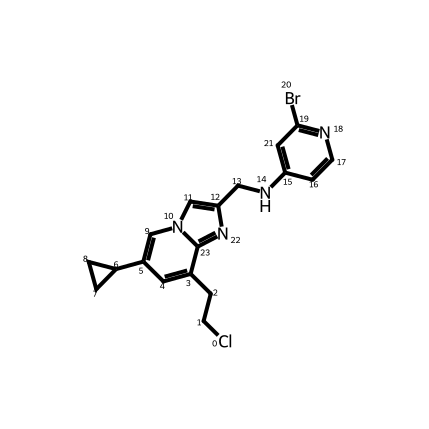 ClCCc1cc(C2CC2)cn2cc(CNc3ccnc(Br)c3)nc12